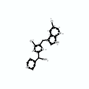 NC(c1ccncc1)c1nc(Cl)c(Cc2c[nH]c3ncc(Cl)cc23)s1